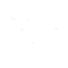 COC(=O)c1ccc(OC[C@@]2(C(OC)OC)CCCc3cc(Cl)ccc32)c(N)c1